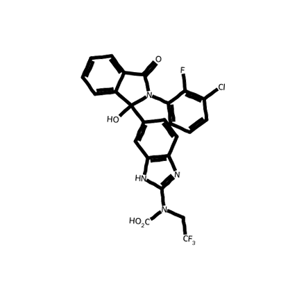 O=C(O)N(CC(F)(F)F)c1nc2ccc(C3(O)c4ccccc4C(=O)N3c3cccc(Cl)c3F)cc2[nH]1